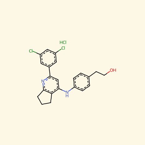 Cl.OCCc1ccc(Nc2cc(-c3cc(Cl)cc(Cl)c3)nc3c2CCC3)cc1